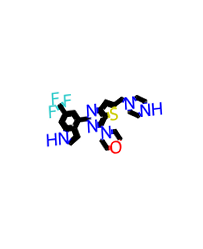 FC(F)(F)c1cc(-c2nc(N3CCOCC3)c3sc(CN4CCNCC4)cc3n2)c2cc[nH]c2c1